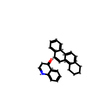 O=C1CC=Nc2ccccc21.c1ccc2c(c1)ccc1c3c(ccc12)CCCC3